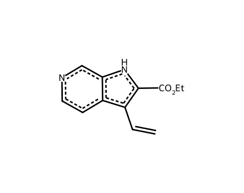 C=Cc1c(C(=O)OCC)[nH]c2cnccc12